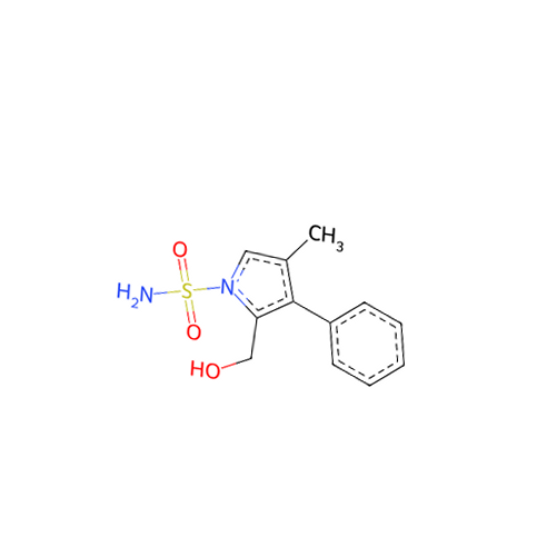 Cc1cn(S(N)(=O)=O)c(CO)c1-c1ccccc1